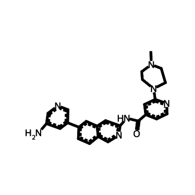 CN1CCN(c2cc(C(=O)Nc3cc4cc(-c5cncc(N)c5)ccc4cn3)ccn2)CC1